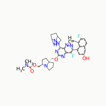 C#Cc1c(F)ccc2cc(O)cc(-c3nnc4c(N5CC6CCC(C5)N6)nc(OC[C@]56CCCN5[C@@H](COC(=O)N(C)C)CC6)nc4c3F)c12